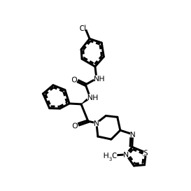 Cn1ccsc1=NC1CCN(C(=O)[C@H](NC(=O)Nc2ccc(Cl)cc2)c2ccccc2)CC1